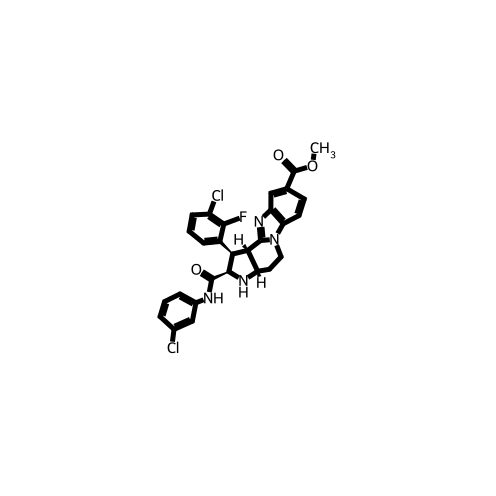 COC(=O)c1ccc2c(c1)nc1n2CC[C@@H]2N[C@@H](C(=O)Nc3cccc(Cl)c3)[C@@H](c3cccc(Cl)c3F)[C@H]12